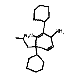 CC(C)CC1(C2CCCCC2)C=CC(N)C(C2CCCCC2)=C1N